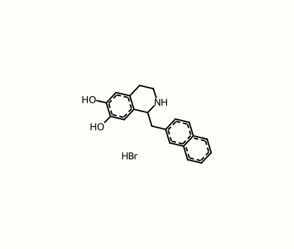 Br.Oc1cc2c(cc1O)C(Cc1ccc3ccccc3c1)NCC2